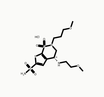 COCCCN1C[C@H](NCCOC)c2cc(S(N)(=O)=O)sc2S1(=O)=O.Cl